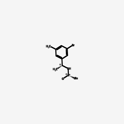 Cc1cc(Br)cc([C@@H](C)N[S@@+]([O-])C(C)(C)C)c1